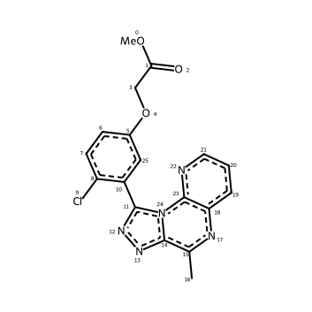 COC(=O)COc1ccc(Cl)c(-c2nnc3c(C)nc4cccnc4n23)c1